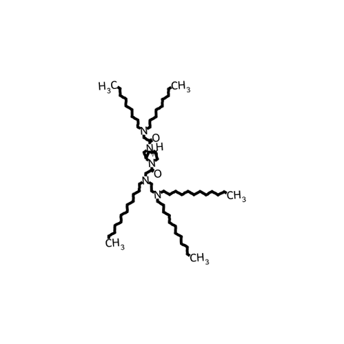 CCCCCCCCCCCCN(CCCCCCCCCCCC)CCN(CCCCCCCCCCCC)CC(=O)N1C[C@H]2CC1CN2C(=O)CN(CCCCCCCCC)CCCCCCCCC